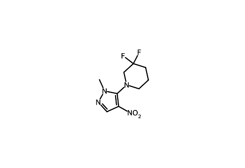 Cn1ncc([N+](=O)[O-])c1N1CCCC(F)(F)C1